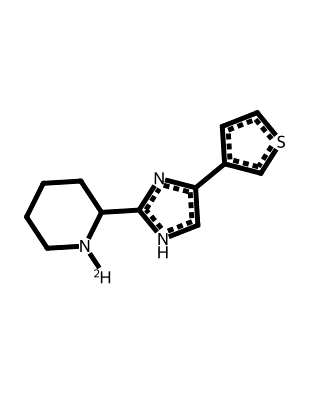 [2H]N1CCCCC1c1nc(-c2ccsc2)c[nH]1